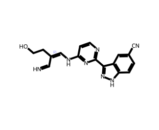 N#Cc1ccc2[nH]nc(-c3nccc(N/C=C(\C=N)CCO)n3)c2c1